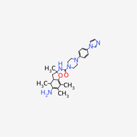 CC1=C(N)C(C)C2CC(C)(NC(=O)N3CCN(c4ccc(-n5ccnc5)cc4)CC3)OC2=C1C